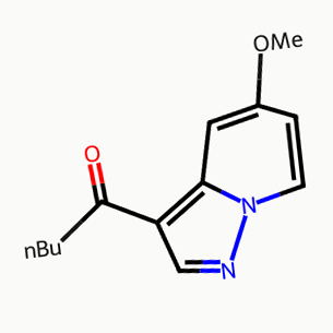 CCCCC(=O)c1cnn2ccc(OC)cc12